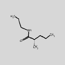 CCCNC(=O)[C@@H](C)CCC